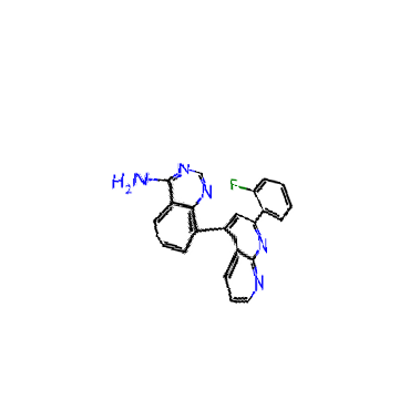 Nc1ncnc2c(-c3cc(-c4ccccc4F)nc4ncccc34)cccc12